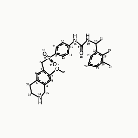 COc1cc2c(cc1CS(=O)(=O)c1ccc(NC(=O)NC(C)c3cccc(C)c3C)cc1)CCNC2